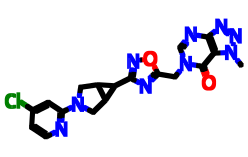 Cn1nnc2ncn(Cc3nc(C4C5CN(c6cc(Cl)ccn6)CC54)no3)c(=O)c21